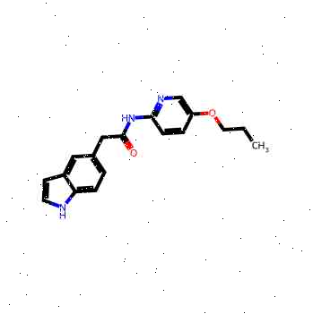 CCCOc1ccc(NC(=O)Cc2ccc3[nH]ccc3c2)nc1